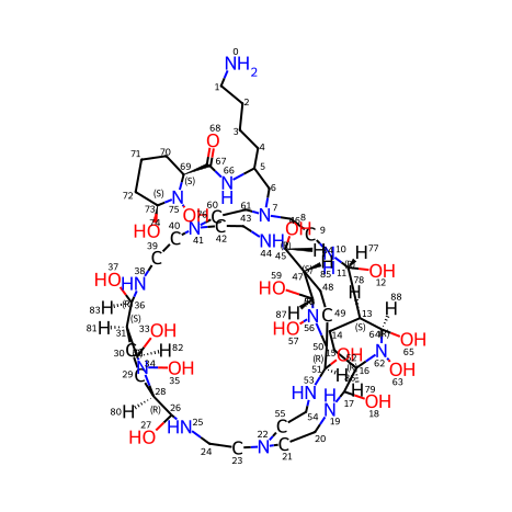 NCCCCC(CN1CCN[C@H](O)[C@@H]2CC[C@H](C(O)NCCN3CCNC(O)[C@H]4CC[C@H]([C@@H](O)N4O)[C@@H](O)NCCN(CCN[C@H](O)[C@@H]4CCC([C@@H](O)NCC3)N(O)[C@@H]4O)CC1)N(O)[C@@H]2O)NC(=O)[C@@H]1CCC[C@H](O)N1O